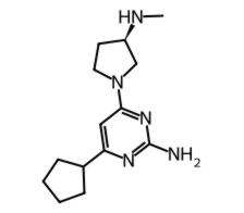 CN[C@@H]1CCN(c2cc(C3CCCC3)nc(N)n2)C1